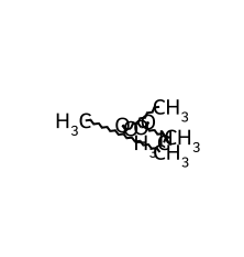 CCCCCCCCCC(CCCCCCCCC)C(=O)OCC(CCCCCC)OC(=O)CCCCN(C)C